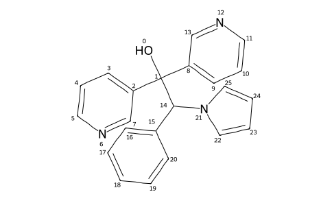 OC(c1cccnc1)(c1cccnc1)C(c1ccccc1)n1cccc1